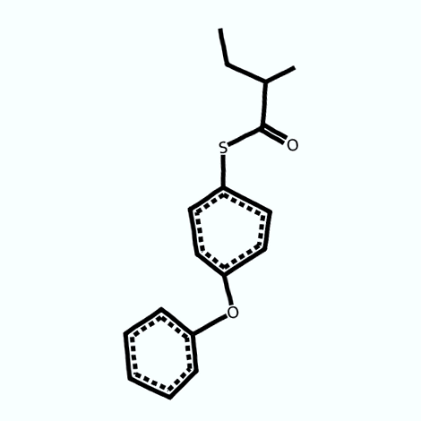 CCC(C)C(=O)Sc1ccc(Oc2ccccc2)cc1